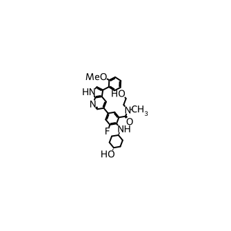 COc1ccccc1-c1c[nH]c2ncc(-c3cc(F)c(N[C@H]4CC[C@H](O)CC4)c(C(=O)N(C)CCO)c3)cc12